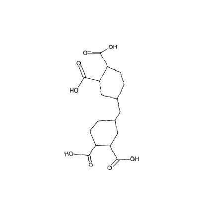 O=C(O)C1CCC(CC2CCC(C(=O)O)C(C(=O)O)C2)CC1C(=O)O